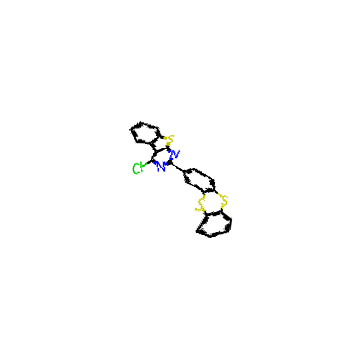 Clc1nc(-c2ccc3c(c2)Sc2ccccc2S3)nc2sc3ccccc3c12